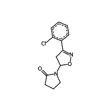 O=C1CCCN1C1CC(c2ccccc2Cl)=NO1